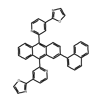 c1ccc2c(-c3ccc4c(-c5cc(-c6ncco6)ccn5)c5ccccc5c(-c5cc(-c6ncco6)ccn5)c4c3)cccc2c1